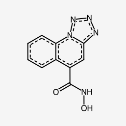 O=C(NO)c1cc2nnnn2c2ccccc12